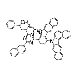 C=C(/C=C(\C=C/C)c1nc(-c2ccc3ccccc3c2)nc(-c2ccc(-n3c4cc5ccccc5cc4c4c5ccccc5ccc43)c3c2oc2cc4ccccc4cc23)n1)c1ccccc1